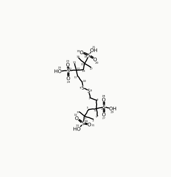 CC(C)(CC(C)(CCSSCCC(C)(CC(C)(C)S(=O)(=O)O)S(=O)(=O)O)S(=O)(=O)O)S(=O)(=O)O